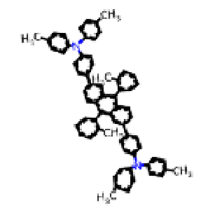 Cc1ccc(N(c2ccc(C)cc2)c2ccc(-c3ccc4c(-c5ccccc5C)c5cc(-c6ccc(N(c7ccc(C)cc7)c7ccc(C)cc7)cc6)ccc5c(-c5ccccc5C)c4c3)cc2)cc1